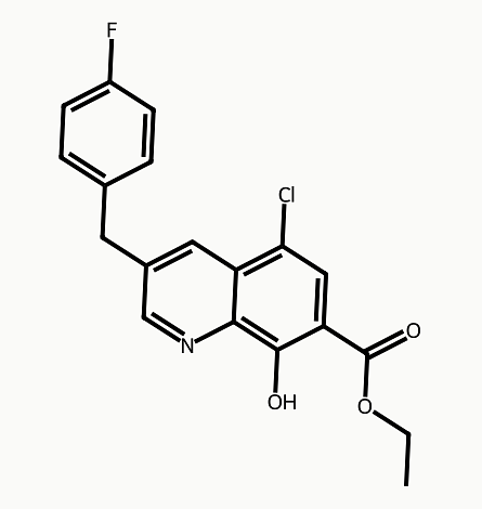 CCOC(=O)c1cc(Cl)c2cc(Cc3ccc(F)cc3)cnc2c1O